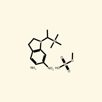 CC(N1CCc2ccc([N+](=O)[O-])cc21)[N+](C)(C)C.COS(=O)(=O)O.N